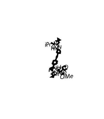 COC(=O)N[C@H](C(=O)N1CC2(CC2)C[C@H]1c1ncc(-c2ccc(C#Cc3ccc4nc([C@@H]5CC6(CC6)CN5C(=O)CC(C)C)[nH]c4c3)cc2)[nH]1)C1CCOCC1